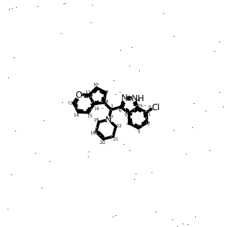 Clc1cccc2c(C(c3ccc4occcc3-4)N3CC=CCC3)n[nH]c12